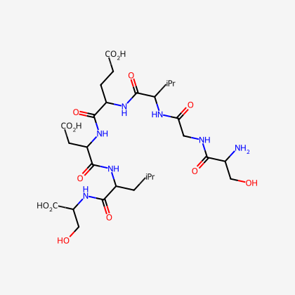 CC(C)CC(NC(=O)C(CC(=O)O)NC(=O)C(CCC(=O)O)NC(=O)C(NC(=O)CNC(=O)C(N)CO)C(C)C)C(=O)NC(CO)C(=O)O